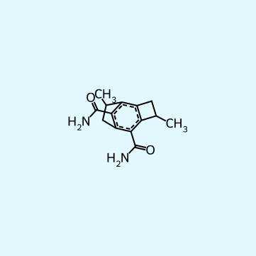 CC1Cc2c(C(N)=O)c1c1c(c2C(N)=O)C(C)C1